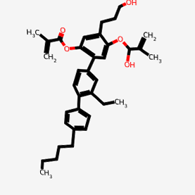 C=C(C)C(=O)Oc1cc(CCCO)c(OC(O)C(=C)C)cc1-c1ccc(-c2ccc(CCCCC)cc2)c(CC)c1